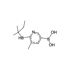 CCC(C)(C)Bc1ncc(B(O)O)cc1C